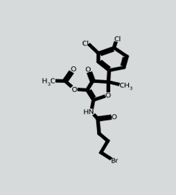 CC(=O)OC1=C(NC(=O)CCCBr)OC(C)(c2ccc(Cl)c(Cl)c2)C1=O